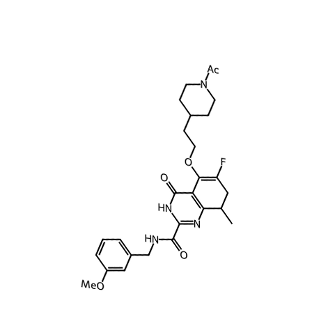 COc1cccc(CNC(=O)c2nc3c(c(=O)[nH]2)C(OCCC2CCN(C(C)=O)CC2)=C(F)CC3C)c1